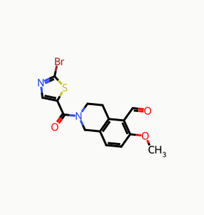 COc1ccc2c(c1C=O)CCN(C(=O)c1cnc(Br)s1)C2